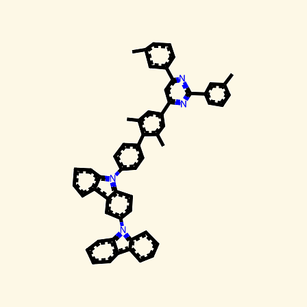 Cc1cccc(-c2cc(-c3cc(C)c(-c4ccc(-n5c6ccccc6c6cc(-n7c8ccccc8c8ccccc87)ccc65)cc4)c(C)c3)nc(-c3cccc(C)c3)n2)c1